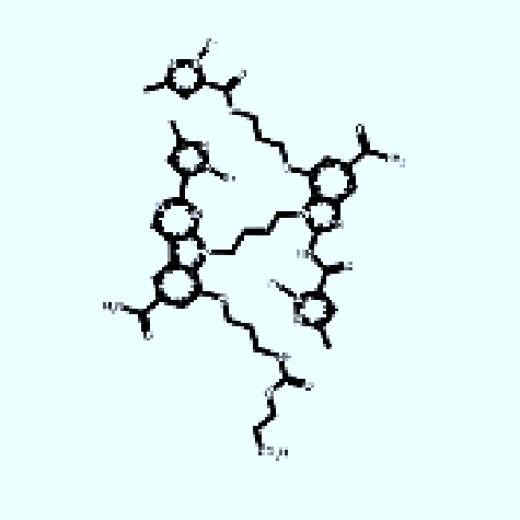 CCn1nc(C)cc1C(=O)Nc1nc2cc(C(N)=O)cc(OCCCOC(=O)c3cc(C)nn3CC)c2n1CC=CCn1c2nc(-c3cc(C)nn3CC)ncc2c2cc(C(N)=O)cc(OCCCNC(=O)OCCC(=O)O)c21